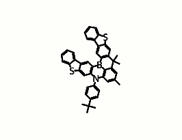 Cc1cc2c3c(c1)C(C)(C)c1cc4sc5ccccc5c4cc1B3c1cc3c(cc1N2c1ccc(C(C)(C)C)cc1)sc1ccccc13